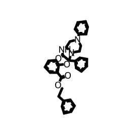 NC(=O)C(Oc1ccccc1C(=O)OCCc1ccccc1)(c1ccccc1)N1CCN(c2ccccc2)CC1